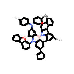 CC(C)(C)c1ccc(N(c2ccc(C(C)(C)C)cc2)c2ccc3c(c2)B2c4c(cc(-c5ccccc5)cc4N3c3cccc4c3oc3ccccc34)-c3cc(C(C)(C)C)cc4c5c6ccccc6ccc5n2c34)cc1